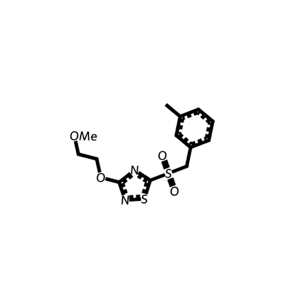 COCCOc1nsc(S(=O)(=O)Cc2cccc(C)c2)n1